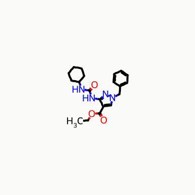 CCOC(=O)c1cn(Cc2ccccc2)nc1NC(=O)NC1CCCCC1